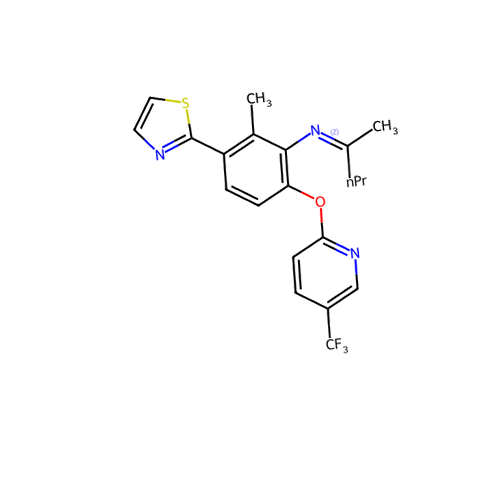 CCC/C(C)=N\c1c(Oc2ccc(C(F)(F)F)cn2)ccc(-c2nccs2)c1C